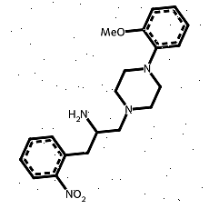 COc1ccccc1N1CCN(CC(N)Cc2ccccc2[N+](=O)[O-])CC1